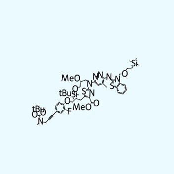 COC(=O)c1nc(N(CC(CO[Si](C)(C)C(C)(C)C)OC)c2cc(C)c(/N=c3\sc4ccccc4n3COCC[Si](C)(C)C)nn2)sc1CCCOc1ccc(C#CCN(C)C(=O)OC(C)(C)C)cc1F